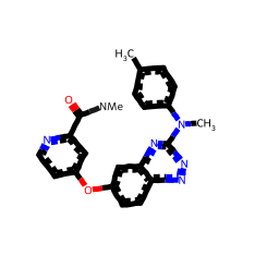 CNC(=O)c1cc(Oc2ccc3nnc(N(C)c4ccc(C)cc4)nc3c2)ccn1